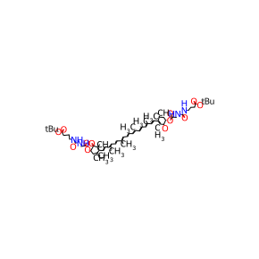 CC1=C(/C=C/C(C)=C/C=C/C(C)=C/C=C/C=C(C)/C=C/C=C(C)/C=C/C2=C(C)C(=O)[C@@H](OC(=O)CNC(=O)NCCCC(=O)OC(C)(C)C)CC2(C)C)C(C)(C)C[C@H](OC(=O)CNC(=O)NCCCC(=O)OC(C)(C)C)C1=O